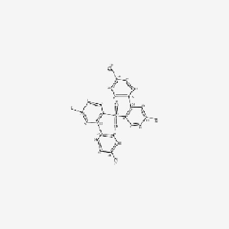 Cc1ccc(S(=O)(=O)c2ccc(C)cc2-c2ccc(Cl)cc2)c(-c2ccc(Cl)cc2)c1